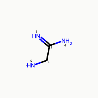 [NH]CC(=N)N